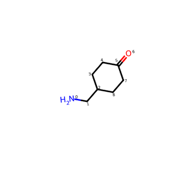 NCC1CCC(=O)CC1